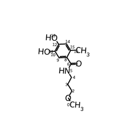 COCCCNC(=O)c1cc(O)c(O)cc1C